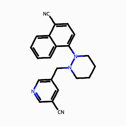 N#Cc1cncc(CN2CCCCN2c2ccc(C#N)c3ccccc23)c1